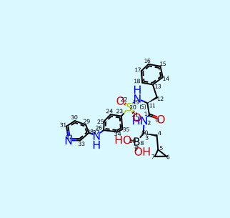 O=C(N[C@@H](CC1CC1)B(O)O)[C@H](Cc1ccccc1)NS(=O)(=O)c1ccc(Nc2cccnc2)cc1